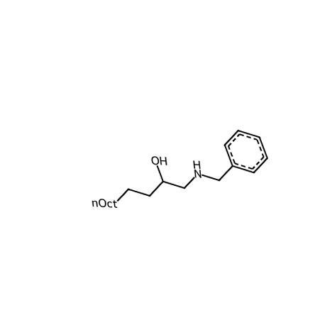 CCCCCCCCCCC(O)CNCc1ccccc1